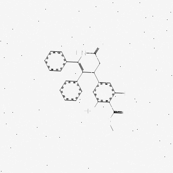 COC(=O)c1c(O)cc(C2CC(=O)NC(c3ccccc3)=C2c2ccccc2)cc1F